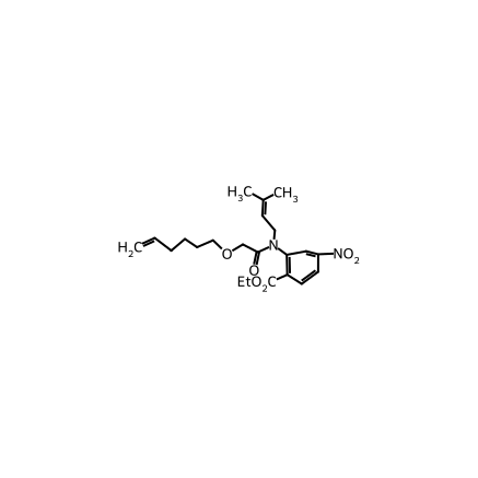 C=CCCCCOCC(=O)N(CC=C(C)C)c1cc([N+](=O)[O-])ccc1C(=O)OCC